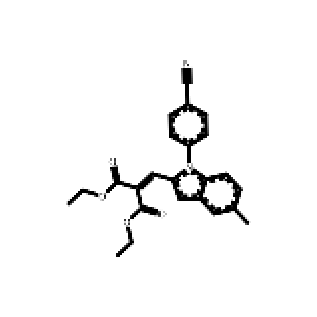 CCOC(=O)C(=Cc1cc2cc(C)ccc2n1-c1ccc(C#N)cc1)C(=O)OCC